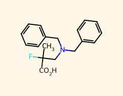 CC(F)(CN(Cc1ccccc1)Cc1ccccc1)C(=O)O